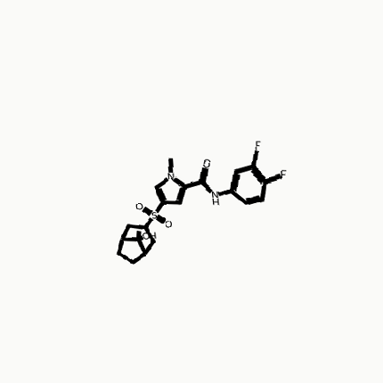 Cn1cc(S(=O)(=O)C2CC3CCC(C2)C3(C)O)cc1C(=O)Nc1ccc(F)c(F)c1